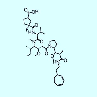 CC[C@H](C)[C@@H]([C@H](CC(=O)N1CCC[C@H]1[C@H](OC)[C@@H](C)C(=O)NCCC1C=CC=CC=C1)OC)N(C)C(=O)[C@@H](NC(=O)[C@]1(F)CCC(C(=O)O)C1)C(C)C